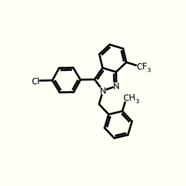 Cc1ccccc1Cn1nc2c(C(F)(F)F)cccc2c1-c1ccc(Cl)cc1